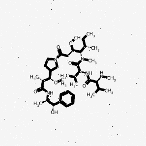 CC[C@H](C)[C@@H]([C@@H](CC(=O)N1CCC([C@H](OC)[C@@H](C)C(=O)N[C@H](C)[C@@H](O)c2ccccc2)C1)OC)N(C)C(=O)[C@@H](NC(=O)[C@@H](NC)C(C)C)C(C)C